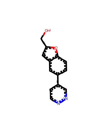 OCc1cc2cc(-c3ccnnc3)ccc2o1